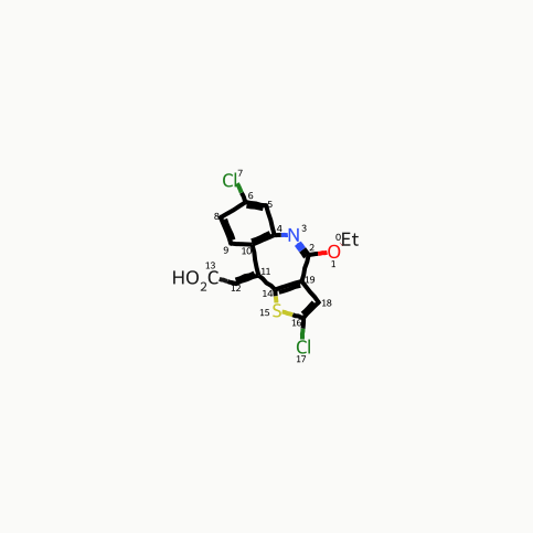 CCOC1=Nc2cc(Cl)ccc2C(=CC(=O)O)c2sc(Cl)cc21